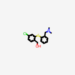 CN(C)Cc1ccccc1Sc1cc(Cl)ccc1CO